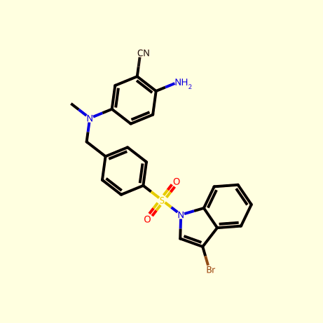 CN(Cc1ccc(S(=O)(=O)n2cc(Br)c3ccccc32)cc1)c1ccc(N)c(C#N)c1